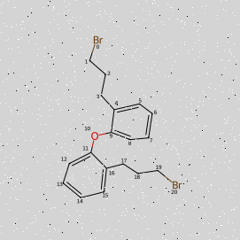 BrCCCc1ccccc1Oc1ccccc1CCCBr